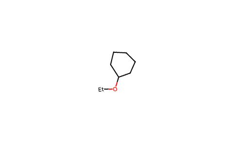 CCOC1CCCCC1